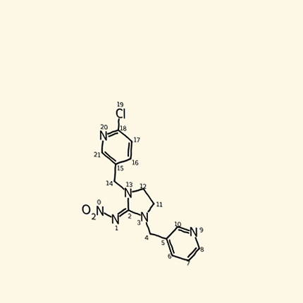 O=[N+]([O-])N=C1N(Cc2cccnc2)CCN1Cc1ccc(Cl)nc1